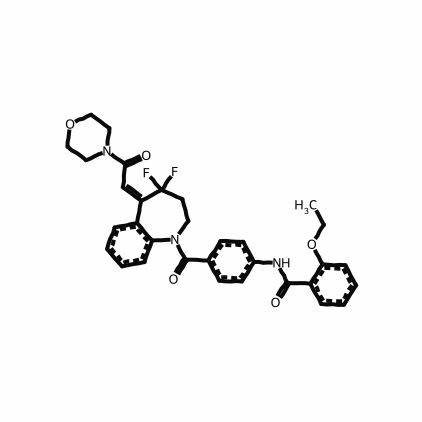 CCOc1ccccc1C(=O)Nc1ccc(C(=O)N2CCC(F)(F)C(=CC(=O)N3CCOCC3)c3ccccc32)cc1